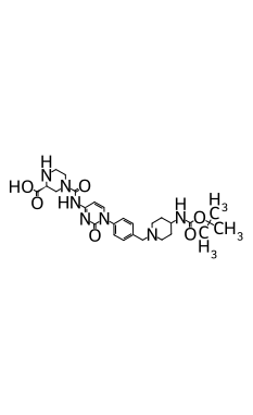 CC(C)(C)OC(=O)NC1CCN(Cc2ccc(-n3ccc(NC(=O)N4CCN[C@H](C(=O)O)C4)nc3=O)cc2)CC1